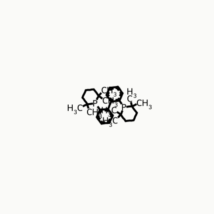 CC1(C)CCCC(C)(C)P1c1ccccc1-c1ccccc1P1C(C)(C)CCCC1(C)C